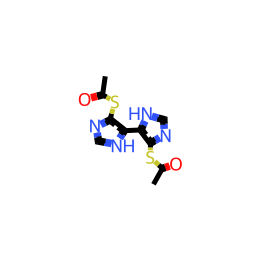 CC(=O)Sc1nc[nH]c1-c1[nH]cnc1SC(C)=O